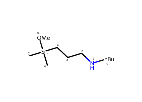 CCCCNCCC[Si](C)(C)OC